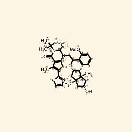 COc1ccccc1C(CN1c2sc(-c3ncco3)c(C)c2C(=O)N(C(C)(C)C(=O)O)C1O)O[C@@H]1C[C@]2(C)C[C@H](O)C[C@]2(C)C1